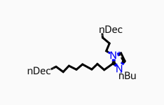 CCCCCCCCCCCCCCCCCCc1n(CCCC)cc[n+]1CCCCCCCCCCCCC